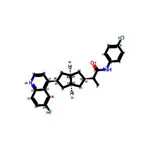 CC(C(=O)Nc1ccc(Cl)cc1)[C@H]1C[C@H]2C[C@@H](c3ccnc4ccc(F)cc34)C[C@H]2C1